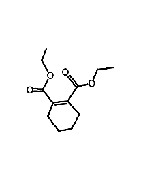 CCOC(=O)C1=C(C(=O)OCC)CCCC1